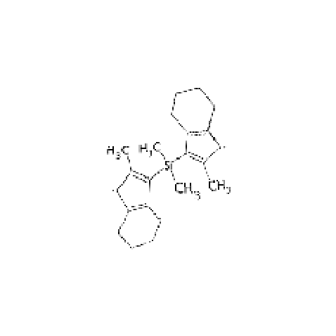 CC1=C([Si](C)(C)C2=C(C)[CH]C3=C2CCCC3)C2=C([CH]1)CCCC2